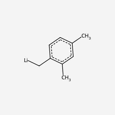 [Li][CH2]c1ccc(C)cc1C